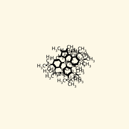 CC1=C(C)C(C)C([Si](c2ccc([Si](C)(C)C)c([Si](C)(C)C)c2[Si](C)(C)C)(c2ccc([Si](C)(C)C)c([Si](C)(C)C)c2[Si](C)(C)C)c2ccc([Si](C)(C)C)c([Si](C)(C)C)c2[Si](C)(C)C)=C1C